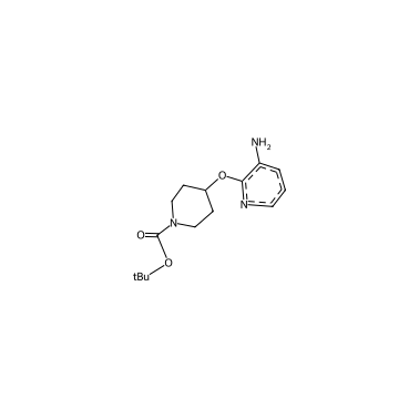 CC(C)(C)OC(=O)N1CCC(Oc2ncccc2N)CC1